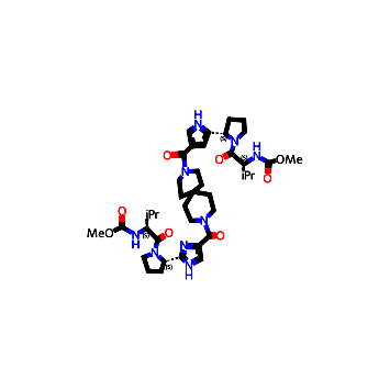 COC(=O)N[C@H](C(=O)N1CCC[C@H]1c1cc(C(=O)N2CCC3(CC2)CCN(C(=O)c2c[nH]c([C@@H]4CCCN4C(=O)[C@@H](NC(=O)OC)C(C)C)n2)CC3)c[nH]1)C(C)C